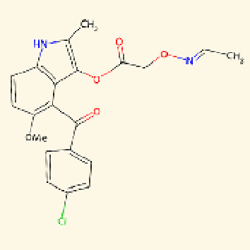 CC=NOCC(=O)Oc1c(C)[nH]c2ccc(OC)c(C(=O)c3ccc(Cl)cc3)c12